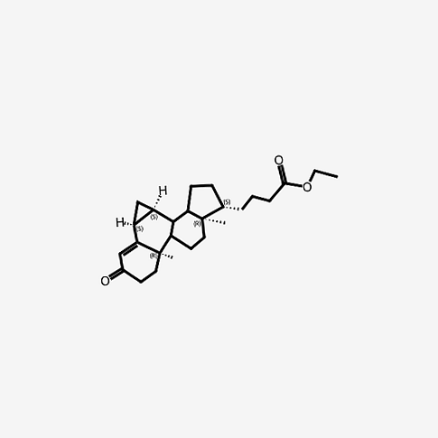 CCOC(=O)CCC[C@H]1CCC2C3C(CC[C@@]21C)[C@@]1(C)CCC(=O)C=C1[C@H]1C[C@@H]31